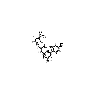 CC(=O)c1cc(-c2ccc(F)cc2)c2ccc(CN3CCC(N(C)C)C3)cc2n1